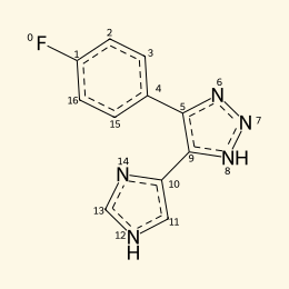 Fc1ccc(-c2nn[nH]c2-c2c[nH]cn2)cc1